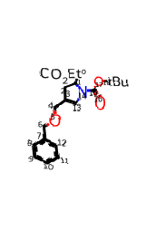 CCOC(=O)C1CC(COCc2ccccc2)CN1C(=O)OC(C)(C)C